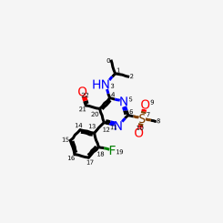 CC(C)Nc1nc(S(C)(=O)=O)nc(-c2ccccc2F)c1C=O